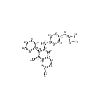 O=c1c2cc(Cl)ccc2nc(Nc2ccc(CN3CCC3)cc2)n1-c1cccnc1